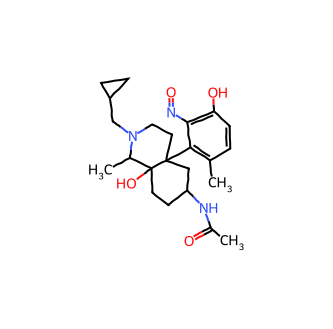 CC(=O)NC1CCC2(O)C(C)N(CC3CC3)CCC2(c2c(C)ccc(O)c2N=O)C1